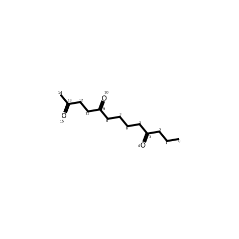 CCCC(=O)CCCCC(=O)CCC(C)=O